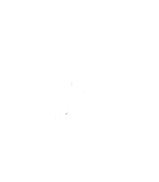 O=C1C[C@@H]2[C@@H](CC3OCCO3)[C@H](O)C[C@@H]2O1